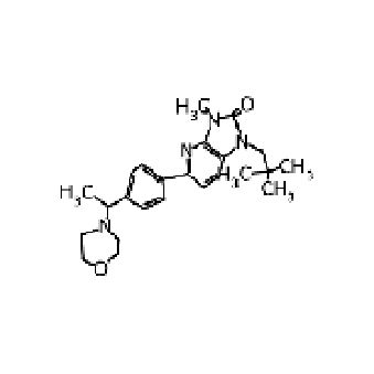 CC(c1ccc(-c2ccc3c(n2)n(C)c(=O)n3CC(C)(C)C)cc1)N1CCOCC1